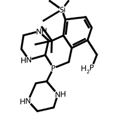 CC(C)(C)c1c([Si](C)(C)C)ccc(CP)c1CP(C1CNCCN1)C1CNCCN1